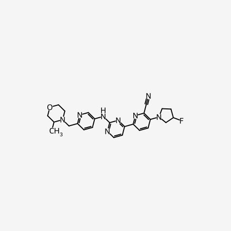 CC1COCCN1Cc1ccc(Nc2nccc(-c3ccc(N4CCC(F)C4)c(C#N)n3)n2)cn1